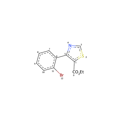 CCOC(=O)c1scnc1-c1ccccc1Br